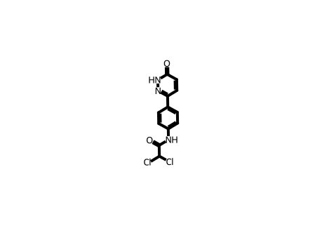 O=C(Nc1ccc(-c2ccc(=O)[nH]n2)cc1)C(Cl)Cl